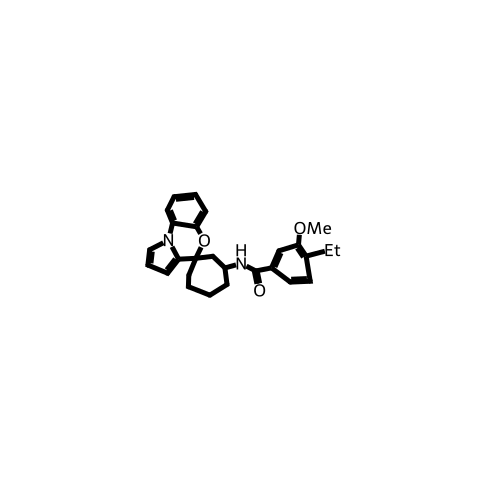 CCc1ccc(C(=O)NC2CCCCC3(C2)Oc2ccccc2-n2cccc23)cc1OC